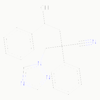 CC(CC(C#N)(Cn1cncn1)c1ccccc1)c1ccccc1